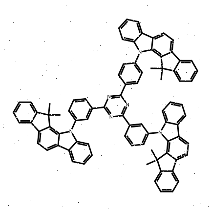 CC1(C)c2ccccc2-c2ccc3c4ccccc4n(-c4ccc(-c5nc(-c6cccc(-n7c8ccccc8c8ccc9c(c87)C(C)(C)c7ccccc7-9)c6)nc(-c6cccc(-n7c8ccccc8c8ccc9c(c87)C(C)(C)c7ccccc7-9)c6)n5)cc4)c3c21